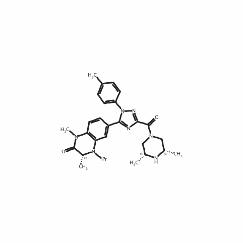 Cc1ccc(-n2nc(C(=O)N3C[C@@H](C)N[C@@H](C)C3)nc2-c2ccc3c(c2)N(C(C)C)[C@H](C)C(=O)N3C)cc1